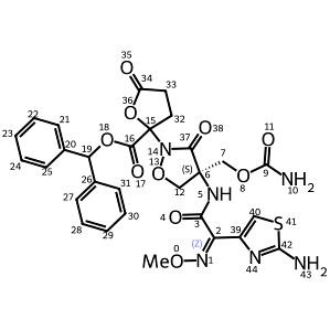 CO/N=C(\C(=O)N[C@@]1(COC(N)=O)CON(C2(C(=O)OC(c3ccccc3)c3ccccc3)CCC(=O)O2)C1=O)c1csc(N)n1